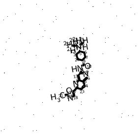 [2H]C([2H])([2H])N([C@H]1CC[C@H](C(=O)Nc2cc3nc(-c4cnc(C)o4)ccc3cn2)CC1)C([2H])([2H])[2H]